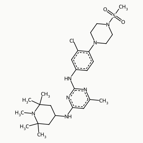 Cc1cc(NC2CC(C)(C)N(C)C(C)(C)C2)nc(Nc2ccc(N3CCN(S(C)(=O)=O)CC3)c(Cl)c2)n1